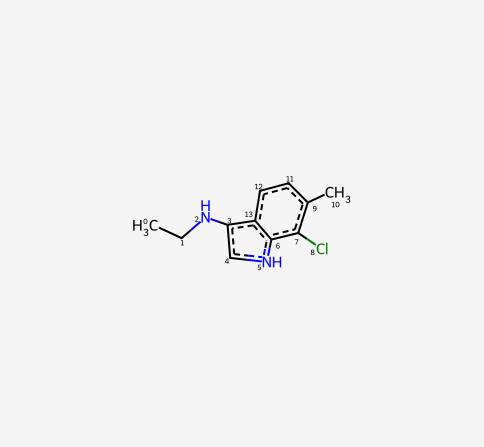 CCNc1c[nH]c2c(Cl)c(C)ccc12